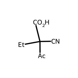 CCC(C#N)(C(C)=O)C(=O)O